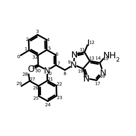 Cc1cccc2cc(Cn3nc(I)c4c(N)ncnc43)n(-c3ccccc3C(C)C)c(=O)c12